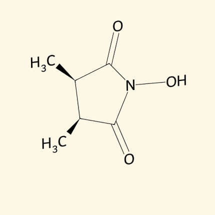 C[C@@H]1C(=O)N(O)C(=O)[C@@H]1C